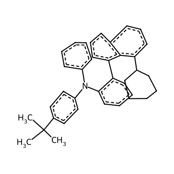 CC(C)(C)c1ccc(N(c2ccccc2)c2ccccc2-c2cccc3cccc(C4CCCCC4)c23)cc1